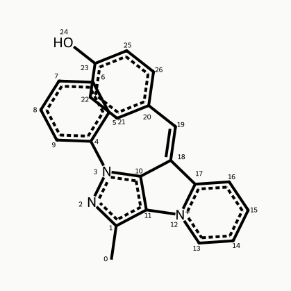 Cc1nn(-c2ccccc2)c2c1-[n+]1ccccc1/C2=C/c1ccc(O)cc1